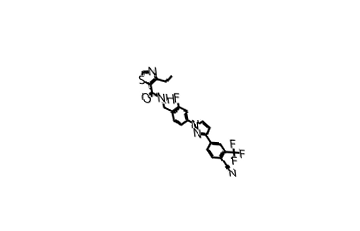 CCc1ncsc1C(=O)NCc1ccc(-n2ccc(-c3ccc(C#N)c(C(F)(F)F)c3)n2)cc1F